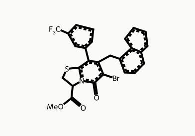 COC(=O)C1CSc2c(-c3cccc(C(F)(F)F)c3)c(Cc3cccc4ccccc34)c(Br)c(=O)n21